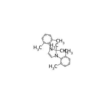 Cc1cccc(C)c1N1C=CN(c2c(C)cccc2C)C1(C)C